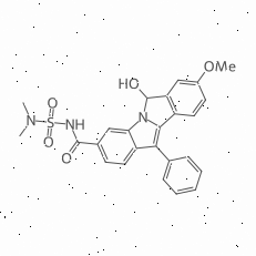 COc1ccc2c(c1)C(O)n1c-2c(-c2ccccc2)c2ccc(C(=O)NS(=O)(=O)N(C)C)cc21